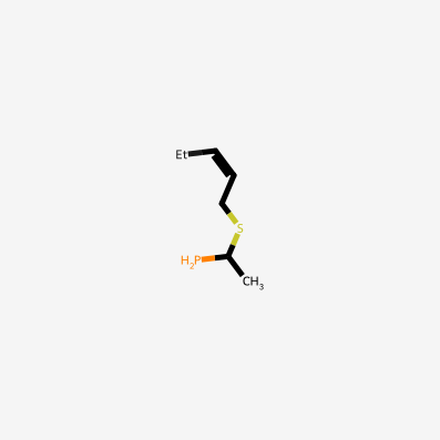 CC/C=C\CSC(C)P